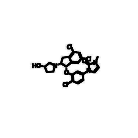 Cn1ccn(-c2ccc(Cl)c(O[C@H]3c4cc(Cl)cc(Cl)c4C[C@H]3N3CC[C@@H](O)C3)c2)c1=O